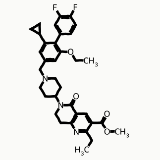 CCOc1cc(CN2CCC(N3CCc4nc(CC)c(C(=O)OC)cc4C3=O)CC2)cc(C2CC2)c1-c1ccc(F)c(F)c1